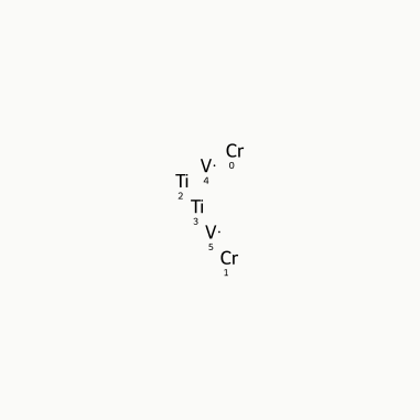 [Cr].[Cr].[Ti].[Ti].[V].[V]